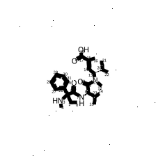 CCC(NC)(C(=O)N[C@H](C(=O)N(C)[C@H](/C=C(\C)C(=O)O)C(C)C)C(C)C)c1ccccc1